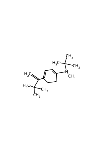 C=C(C1=CC=C(N(C)C(C)(C)C)CC1)C(C)(C)C